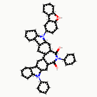 O=c1c2cc3c(cc2c2cc4c5ccccc5n(-c5ccc6oc7ccccc7c6c5)c4cc2c(=O)n1-c1ccccc1)c1ccccc1n3-c1ccccc1